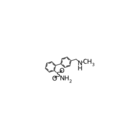 CNCc1ccc(-c2ccccc2S(N)(=O)=O)cc1